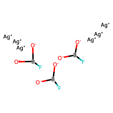 [Ag+].[Ag+].[Ag+].[Ag+].[Ag+].[Ag+].[O-]B([O-])F.[O-]B([O-])F.[O-]B([O-])F